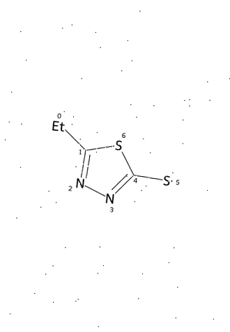 CCc1nnc([S])s1